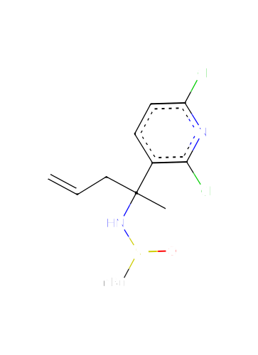 C=CCC(C)(N[S+]([O-])CCCC)c1ccc(Cl)nc1Cl